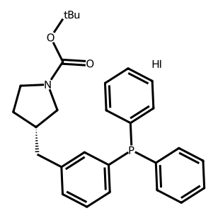 CC(C)(C)OC(=O)N1CC[C@@H](Cc2cccc(P(c3ccccc3)c3ccccc3)c2)C1.I